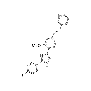 COc1cc(OCc2cccnc2)ccc1-c1c[nH]c(-c2ccc(F)cc2)n1